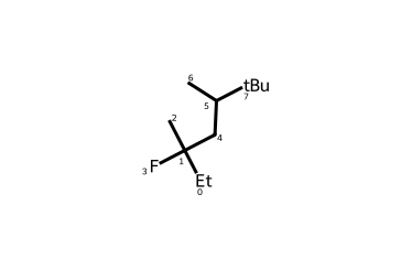 CCC(C)(F)CC(C)C(C)(C)C